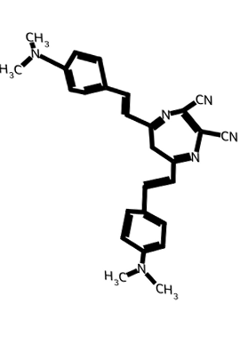 CN(C)c1ccc(C=CC2=NC(C#N)=C(C#N)N=C(C=Cc3ccc(N(C)C)cc3)C2)cc1